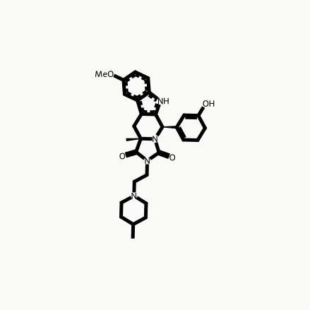 COc1ccc2[nH]c3c(c2c1)C[C@@]1(C)C(=O)N(CCN2CCC(C)CC2)C(=O)N1[C@@H]3C1=CCCC(O)=C1